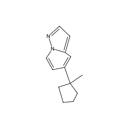 CC1(c2ccn3nccc3c2)CCCC1